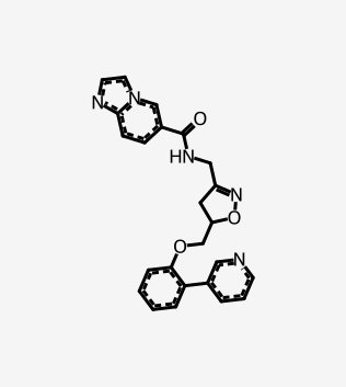 O=C(NCC1=NOC(COc2ccccc2-c2cccnc2)C1)c1ccc2nccn2c1